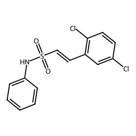 O=S(=O)(C=Cc1cc(Cl)ccc1Cl)Nc1ccccc1